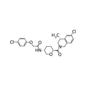 C[C@H]1CN(C(=O)[C@@H]2CC[C@@H](NC(=O)COc3ccc(Cl)cc3)CO2)Cc2ccc(Cl)cc21